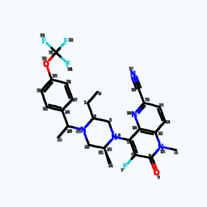 CCC1CN(c2c(F)c(=O)n(C)c3ccc(C#N)nc23)[C@@H](C)CN1C(C)c1ccc(OC(F)(F)F)cc1